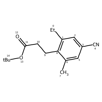 CCc1cc(C#N)cc(C)c1CCC(=O)OC(C)(C)C